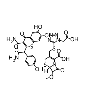 CO[C@@H]1C(=O)N2C(C(=O)O)=C(CSc3nnnn3CC(=O)O)CS[C@@H]12.NC(=O)c1c(C(C(N)=O)c2ccc(O)cc2)sc2cc(O)c(O)cc2c1=O